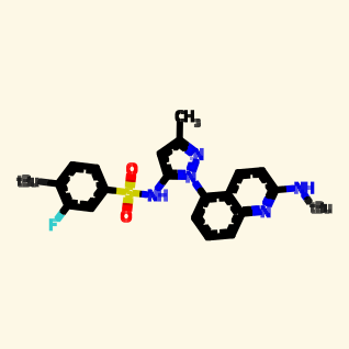 Cc1cc(NS(=O)(=O)c2ccc(C(C)(C)C)c(F)c2)n(-c2cccc3nc(NC(C)(C)C)ccc23)n1